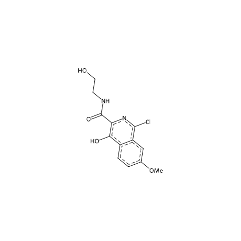 COc1ccc2c(O)c(C(=O)NCCO)nc(Cl)c2c1